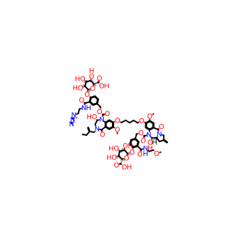 C=C(CC)CN1CC(O)N(C(=O)OCc2ccc(O[C@@H]3O[C@H](C(=O)O)[C@@H](O)[C@H](O)[C@H]3O)c(C(=O)NCCN=[N+]=[N-])c2)c2cc(OCCCCCOc3cc4c(cc3OC)C(=O)N3CC(=C)C[C@H]3C(O)N4C(=O)OCc3ccc(O[C@@H]4O[C@H](C(=O)O)[C@@H](O)[C@H](O)[C@H]4O)c(C(=O)NCCOC)c3)c(OC)cc2C1=O